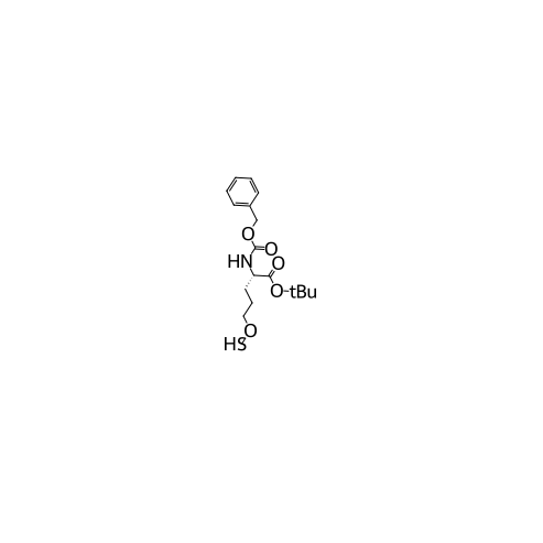 CC(C)(C)OC(=O)[C@H](CCCOS)NC(=O)OCc1ccccc1